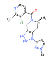 CCn1ccc(N2NNC3=C2C[C@H](C)N(C(=O)c2ccnc(C(F)(F)F)c2Cl)C3)n1